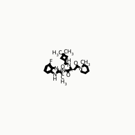 C[C@H](NC(=O)[C@H](CC(=O)N1CCCC[C@@H]1C)NC(=O)C1CC(C)(C)C1)c1nc2c(F)cccc2[nH]1